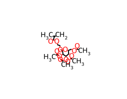 C=C(C)C(=O)OCCOC1OC(COC(C)=O)C(OC(C)=O)C(OC(C)=O)C1OC(C)=O